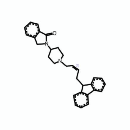 O=C1c2ccccc2CN1C1CCN(C/C=C\CC2c3ccccc3-c3ccccc32)CC1